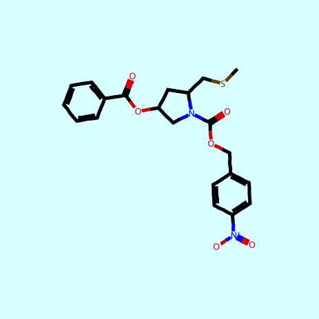 CSCC1CC(OC(=O)c2ccccc2)CN1C(=O)OCc1ccc([N+](=O)[O-])cc1